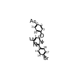 CC(=O)c1ccc(Oc2cc(C)nc(-c3ccc(Br)cc3)n2)cc1